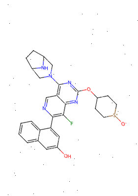 [O-][S+]1CCC(Oc2nc(N3CC4CCC(C3)N4)c3cnc(-c4cc(O)cc5ccccc45)c(F)c3n2)CC1